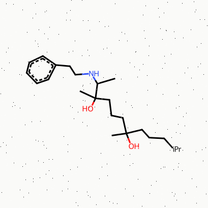 CC(C)CCCC(C)(O)CCCC(C)(O)C(C)NCCc1ccccc1